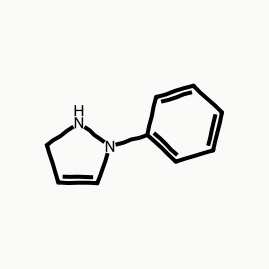 C1=CN(c2ccccc2)NC1